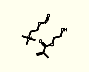 C=C(C)C(=O)OCCO.C[N+](C)(C)CCOP=O